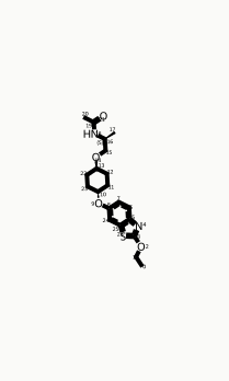 CCOc1nc2ccc(O[C@H]3CC[C@H](OC[C@H](C)NC(C)=O)CC3)cc2s1